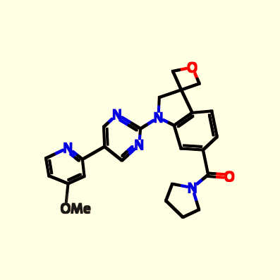 COc1ccnc(-c2cnc(N3CC4(COC4)c4ccc(C(=O)N5CCCC5)cc43)nc2)c1